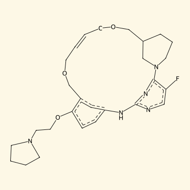 Fc1cnc2nc1N1CCCC(COC/C=C/COCc3cc(ccc3OCCN3CCCC3)N2)C1